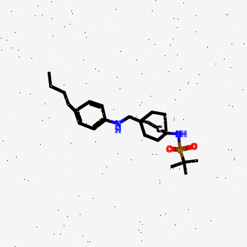 CCCCc1ccc(NCC23CCC(NS(=O)(=O)C(C)(C)C)(CC2)CC3)cc1